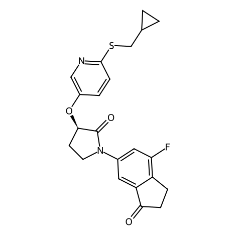 O=C1CCc2c(F)cc(N3CC[C@@H](Oc4ccc(SCC5CC5)nc4)C3=O)cc21